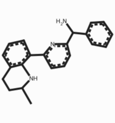 CC1CCc2cccc(-c3cccc(C(N)c4ccccc4)n3)c2N1